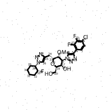 CO[C@@H]1[C@@H](n2cc(-c3ccc(Cl)c(F)c3F)nn2)[C@@H](O)[C@@H](CO)O[C@@H]1Cc1cn([C@H]2CCCC[C@H]2F)nn1